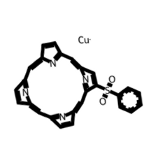 O=S(=O)(C1=CC2=CC3=NC(=CC4=NC(=CC5=NC(=CC1=N2)C=C5)C=C4)C=C3)c1ccccc1.[Cu]